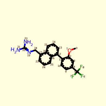 COc1cc(C(F)(F)F)ccc1-c1cccc2c(CN=C(N)N)cccc12